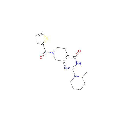 CC1CCCCN1c1nc2c(c(=O)[nH]1)CCN(C(=O)c1cccs1)C2